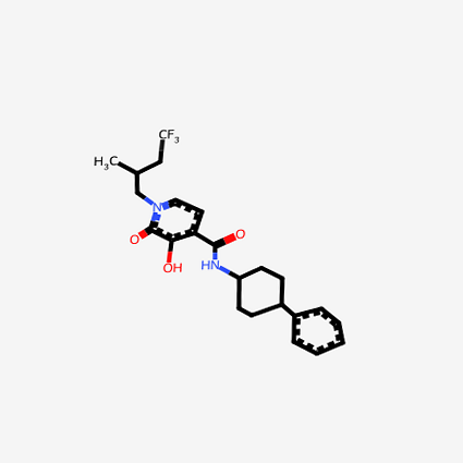 CC(Cn1ccc(C(=O)NC2CCC(c3ccccc3)CC2)c(O)c1=O)CC(F)(F)F